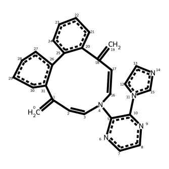 C=C1/C=C\N(c2nccnc2-n2ccnc2)/C=C\C(=C)c2ccccc2-c2ccccc21